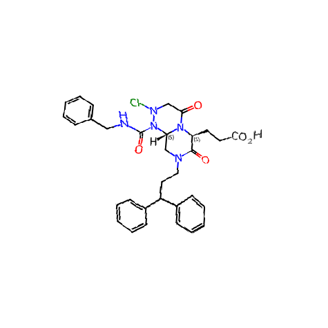 O=C(O)CC[C@H]1C(=O)N(CCC(c2ccccc2)c2ccccc2)C[C@H]2N1C(=O)CN(Cl)N2C(=O)NCc1ccccc1